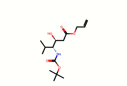 C=CCOC(=O)C[C@H](O)[C@H](NC(=O)OC(C)(C)C)C(C)C